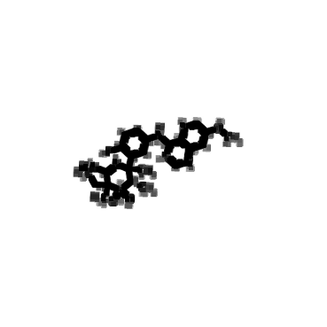 CC[C@]1(C)C(N)=N[C@](C)(c2cc(Nc3ncnc4cc(OC)cnc34)ccc2F)[C@H](C)S1(=O)=O